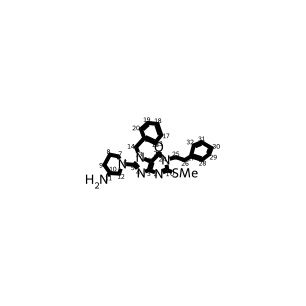 CSc1nc2nc(N3CCCC(N)C3)n(Cc3ccccc3)c2c(=O)n1CCc1ccccc1